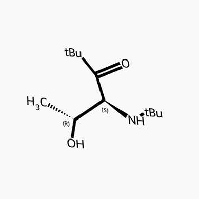 C[C@@H](O)[C@H](NC(C)(C)C)C(=O)C(C)(C)C